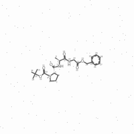 C[C@H](NC(=O)[C@@H]1CCCN1C(=O)OC(C)(C)C)C(=O)NCC(=O)OCc1ccccc1